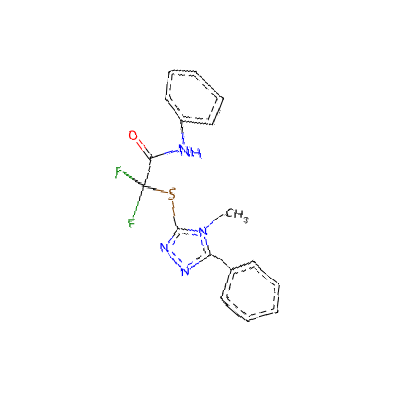 Cn1c(SC(F)(F)C(=O)Nc2ccccc2)nnc1-c1ccccc1